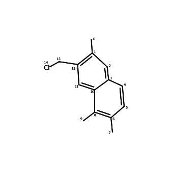 Cc1cc2ccc(C)c(C)c2cc1CCl